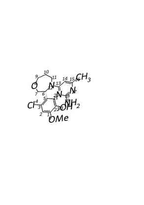 COc1cc(Cl)c([C@@H]2COCCCN2c2cc(C)nc(N)n2)cc1O